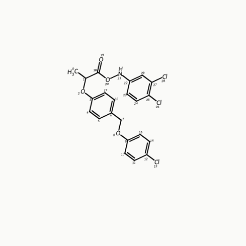 CC(Oc1ccc(COc2ccc(Cl)cc2)cc1)C(=O)ONc1ccc(Cl)c(Cl)c1